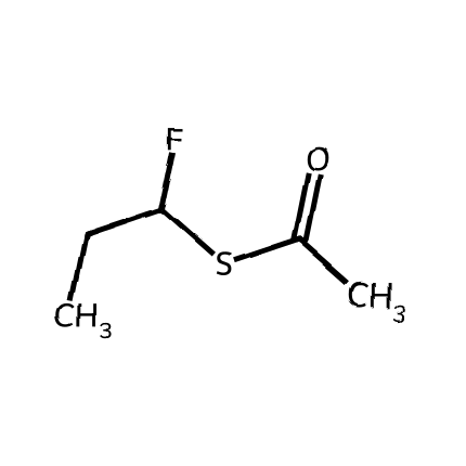 CCC(F)SC(C)=O